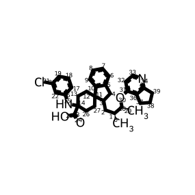 C[C@H](CC1Cc2ccccc2C12CCC(Nc1cccc(Cl)c1)(C(=O)O)CC2)[C@@H](C)Oc1ccnc2c1CCC2